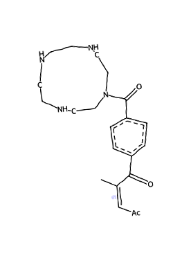 CC(=O)/C=C(/C)C(=O)c1ccc(C(=O)N2CCNCCNCCNCC2)cc1